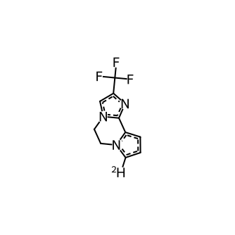 [2H]c1ccc2n1CCn1cc(C(F)(F)F)nc1-2